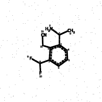 CC(N)c1cccc(C(F)F)c1CC#N